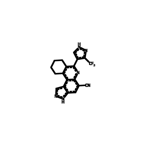 N#Cc1cc2[nH]ncc2c2c3c(c(-c4c[nH]nc4C(F)(F)F)nc12)CCCC3